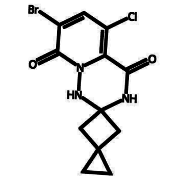 O=C1NC2(CC3(CC3)C2)Nn2c1c(Cl)cc(Br)c2=O